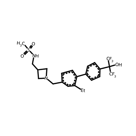 CCc1cc(CN2CC(CNS(C)(=O)=O)C2)ccc1-c1ccc(C(O)(C(F)(F)F)C(F)(F)F)cc1